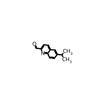 CC(C)c1ccc2nc(C=O)ccc2c1